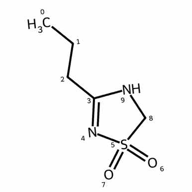 CCCC1=NS(=O)(=O)CN1